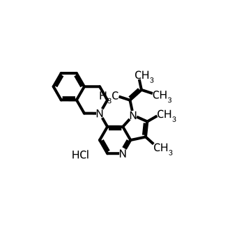 CC(C)=C(C)n1c(C)c(C)c2nccc(N3CCc4ccccc4C3)c21.Cl